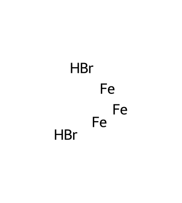 Br.Br.[Fe].[Fe].[Fe]